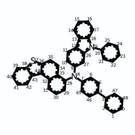 c1ccc(-c2ccc(N(c3ccc4c5ccccc5n(-c5ccccc5)c4c3)c3cccc4c3ccc3sc5ccccc5c34)cc2)cc1